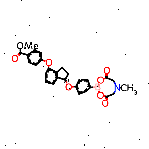 COC(=O)c1ccc(Oc2cccc3c2CC[C@H]3Oc2ccc(B3OC(=O)CN(C)CC(=O)O3)cc2)cc1